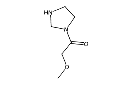 COCC(=O)N1CCNC1